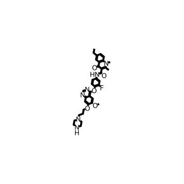 CCc1ccc2c(c1)c(=O)c(C(=O)Nc1ccc(Oc3ncnc4cc(OCCCN5CCNCC5)c(OC)cc34)c(F)c1)c(C)n2C